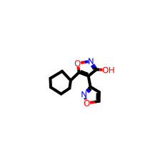 Oc1noc(C2CCCCC2)c1-c1ccon1